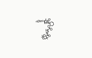 CCCCCCCCCCC(C)=C(C)C(=O)N[C@H]1CCCC[C@@H]1OC(=O)CCNC(=O)C1OC(C)(C)OCC1(C)C